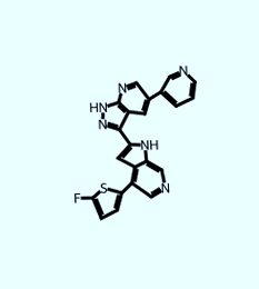 Fc1ccc(-c2cncc3[nH]c(-c4n[nH]c5ncc(-c6cccnc6)cc45)cc23)s1